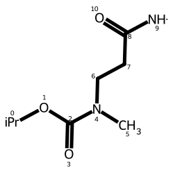 CC(C)OC(=O)N(C)CCC([NH])=O